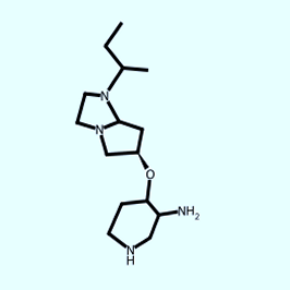 CCC(C)N1CCN2C[C@H](OC3CCNCC3N)CC21